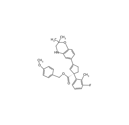 COc1ccc(COC(=O)[C@]2(c3cccc(F)c3C)C=C(c3ccc4c(c3)NCC(C)(C)O4)CC2)cc1